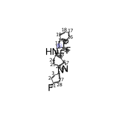 Fc1ccc(-n2ncc3cc(N/C(=C/c4ccccc4)C(F)(F)F)ccc32)cc1